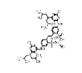 CC(O)CN(CC(C)O)c1nc(Cl)nc(Nc2ccc(C=Cc3ccc(Nc4nc(Cl)nc(N(CC(C)O)CC(C)O)n4)cc3S(=O)(=O)O)c(S(=O)(=O)O)c2)n1.[Na].[Na]